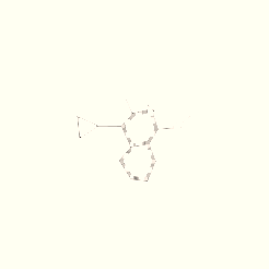 COc1nc(F)c(C2CC2)c2ccccc12